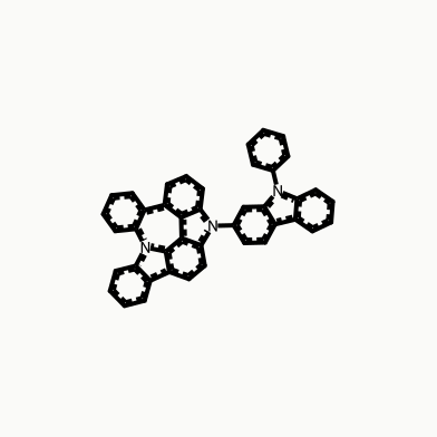 c1ccc(-n2c3ccccc3c3ccc(-n4c5cccc6c7ccccc7n7c8ccccc8c8ccc4c(c65)c87)cc32)cc1